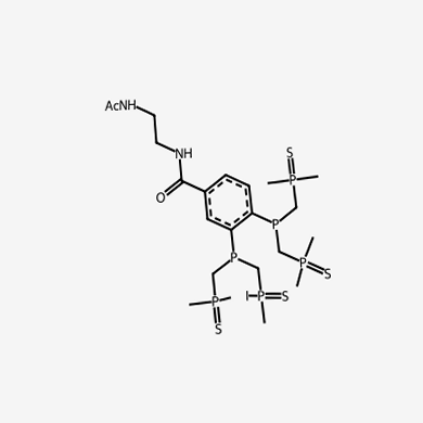 CC(=O)NCCNC(=O)c1ccc(P(CP(C)(C)=S)CP(C)(C)=S)c(P(CP(C)(C)=S)CP(C)(=S)I)c1